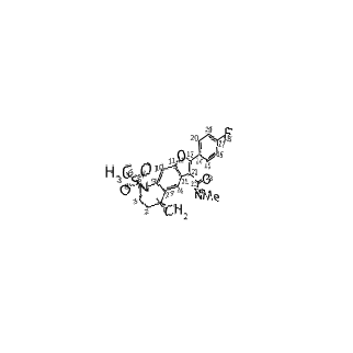 C=C1CCN(S(C)(=O)=O)c2cc3oc(-c4ccc(F)cc4)c(C(=O)NC)c3cc21